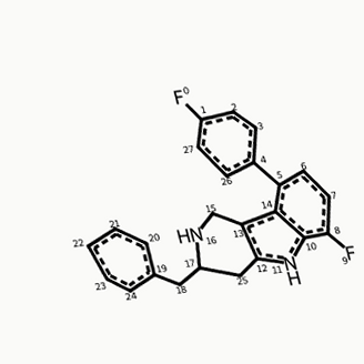 Fc1ccc(-c2ccc(F)c3[nH]c4c(c23)CNC(Cc2ccccc2)C4)cc1